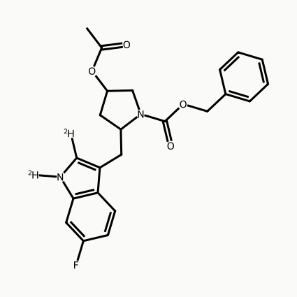 [2H]c1c(CC2CC(OC(C)=O)CN2C(=O)OCc2ccccc2)c2ccc(F)cc2n1[2H]